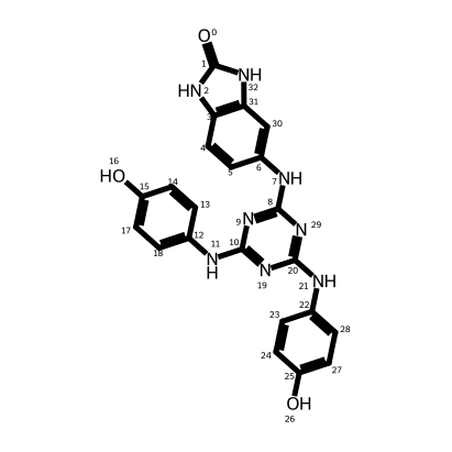 O=c1[nH]c2ccc(Nc3nc(Nc4ccc(O)cc4)nc(Nc4ccc(O)cc4)n3)cc2[nH]1